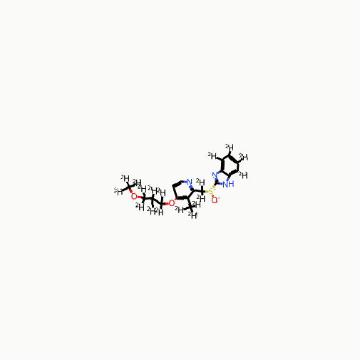 [2H]c1c([2H])c([2H])c2[nH]c([S+]([O-])C([2H])([2H])c3nccc(OC([2H])([2H])C([2H])([2H])C([2H])([2H])OC([2H])([2H])[2H])c3C([2H])([2H])[2H])nc2c1[2H]